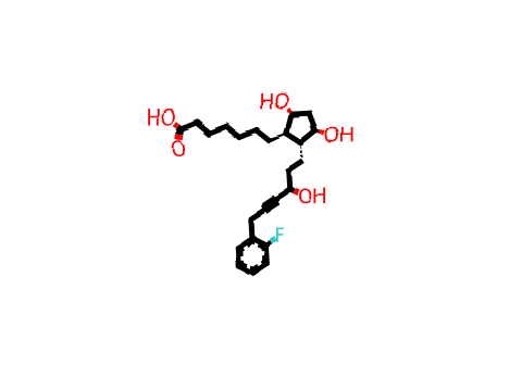 O=C(O)CCCCCC[C@@H]1[C@@H](CCC(O)C#CCc2ccccc2F)[C@H](O)C[C@@H]1O